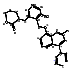 C=CN(/C=C\C)c1cc(C)nc2c(OCc3c(Cl)cncc3CN3CCCOC3=O)cccc12